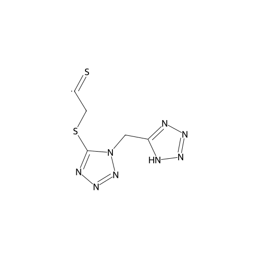 S=[C]CSc1nnnn1Cc1nnn[nH]1